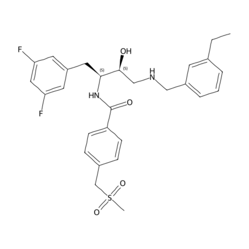 CCc1cccc(CNC[C@H](O)[C@H](Cc2cc(F)cc(F)c2)NC(=O)c2ccc(CS(C)(=O)=O)cc2)c1